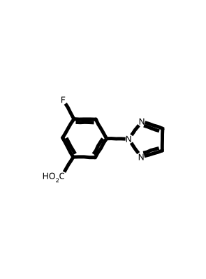 O=C(O)c1cc(F)cc(-n2nccn2)c1